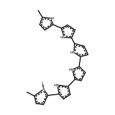 Cc1ccc(-c2ccc(-c3ccc(-c4ccc(-c5ccc(-c6ccc(C)n6I)[nH]5)[nH]4)[nH]3)[nH]2)[nH]1